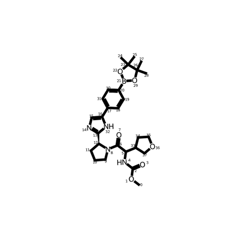 COC(=O)NC(C(=O)N1CCC[C@H]1c1ncc(-c2ccc(B3OC(C)(C)C(C)(C)O3)cc2)[nH]1)C1CCOC1